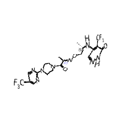 C/C(=N\OC[C@H](C)Nc1cn[nH]c(=O)c1C(F)(F)F)C(=O)N1CCN(c2ncc(C(F)(F)F)cn2)CC1